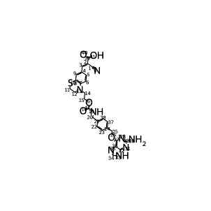 N#C/C(=C\c1ccc2c(c1)SCCN2CCOC(=O)NCc1ccc(COc2nc(N)nc3[nH]cnc23)cc1)C(=O)O